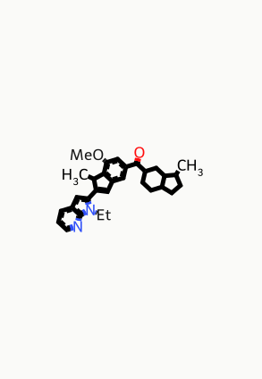 CCn1c(C2=Cc3cc(C(=O)C4CCC5CCC(C)C5C4)cc(OC)c3C2C)cc2cccnc21